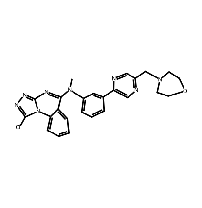 CN(c1cccc(-c2cnc(CN3CCOCC3)cn2)c1)c1nc2nnc(Cl)n2c2ccccc12